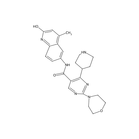 Cc1cc(O)nc2ccc(NC(=O)c3cnc(N4CCOCC4)nc3C3CCNCC3)cc12